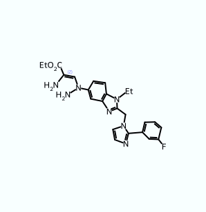 CCOC(=O)/C(N)=C/N(N)c1ccc2c(c1)nc(Cn1ccnc1-c1cccc(F)c1)n2CC